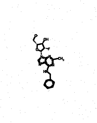 Cc1nc(NCc2ccccc2)c2ncn([C@@H]3O[C@H](C[O])[C@@H](O)[C@@H]3F)c2n1